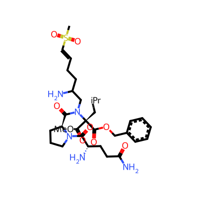 COC(=O)[C@@](CC(C)C)(C(=O)OCc1ccccc1)N(CC(N)CC/C=C/S(C)(=O)=O)C(=O)[C@@H]1CCCN1C(=O)[C@@H](N)CCC(N)=O